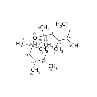 CCC(C)C(C)CC(C)(C)OC(C)(C)CC(C)C(C)CC